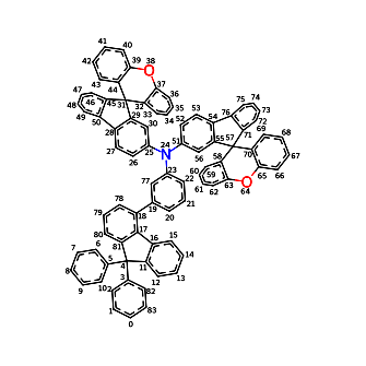 c1ccc(C2(c3ccccc3)c3ccccc3-c3c(-c4cccc(N(c5ccc6c(c5)C5(c7ccccc7Oc7ccccc75)c5ccccc5-6)c5ccc6c(c5)C5(c7ccccc7Oc7ccccc75)c5ccccc5-6)c4)cccc32)cc1